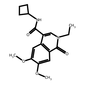 CCn1cc(C(=O)NC2CCC2)c2cc(OC)c(OC)cc2c1=O